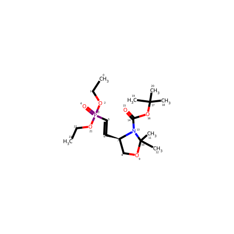 CCOP(=O)(/C=C/[C@@H]1COC(C)(C)N1C(=O)OC(C)(C)C)OCC